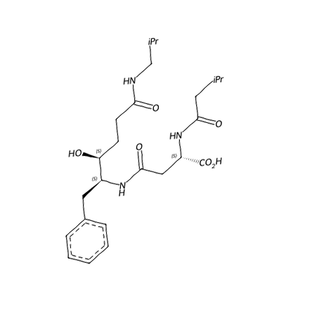 CC(C)CNC(=O)CC[C@H](O)[C@H](Cc1ccccc1)NC(=O)C[C@H](NC(=O)CC(C)C)C(=O)O